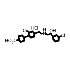 Cl.O=C(O)c1ccc(-c2ccc(CCNC[C@H](O)c3cccc(Cl)c3)cc2Cl)cc1